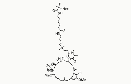 CCCCCCC(C)(F)C(=O)NCCCCCC(=O)NCCSSC(C)(C)CCC(=O)N(C)[C@@H](C)C(=O)O[C@H]1CCN(C)c2cc(cc(OC)c2Cl)C/C(C)=C/C=C/[C@@H](OC)[C@@]2(O)C[C@H](OC(=O)N2)[C@@H](C)[C@@H]2O[C@@]12C